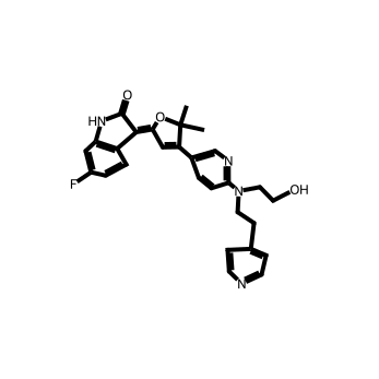 CC1(C)OC(=C2C(=O)Nc3cc(F)ccc32)C=C1c1ccc(N(CCO)CCc2ccncc2)nc1